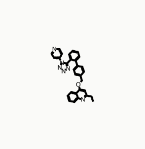 CCc1cc(OCc2ccc(-c3ccccc3-c3nnnn3-c3ccncc3)cc2)c2ccccc2n1